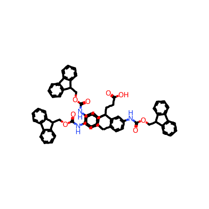 O=C(O)CCC12c3ccc(NC(=O)OCC4c5ccccc5-c5ccccc54)cc3C(c3ccc(NC(=O)OCC4c5ccccc5-c5ccccc54)cc31)c1ccc(NC(=O)OCC3c4ccccc4-c4ccccc43)cc12